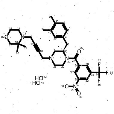 Cc1ccc(C[C@@H]2CN(CC#CCN3CCOCC3(C)C)CCN2C(=O)c2cc([N+](=O)[O-])cc(C(F)(F)F)c2)cc1C.Cl.Cl